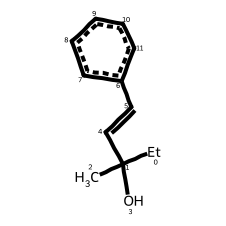 CCC(C)(O)/C=C/c1ccccc1